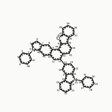 c1ccc(-n2ccc3cc4c(cc(-c5ccc6c(c5)c5ccccc5n6-c5ccccc5)c5ccc6c7ccccc7oc6c54)cc32)cc1